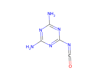 Nc1nc(N)nc(N=C=O)n1